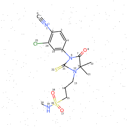 [C-]#[N+]c1ccc(N2C(=O)C(C)(C)N(CCCS(=O)(=O)NC)C2=S)cc1Cl